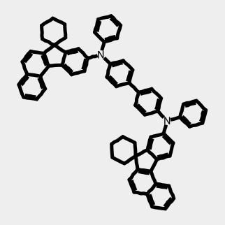 c1ccc(N(c2ccc(-c3ccc(N(c4ccccc4)c4ccc5c(c4)C4(CCCCC4)c4ccc6ccccc6c4-5)cc3)cc2)c2ccc3c(c2)C2(CCCCC2)c2ccc4ccccc4c2-3)cc1